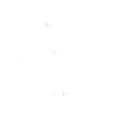 CC(C)CNC(CCl)C(Cc1ccccc1)S(=O)(=O)O